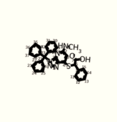 CNc1cc(SC(C(=O)O)c2ccccc2)c2nnn(C(c3ccccc3)(c3ccccc3)c3ccccc3)c2n1